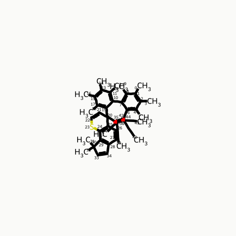 Cc1c(C)c(C)c2c(c1C)-c1c(C)c(C)c(C)c(C)c1C1(C=CSc3c1ccc1c3C(C)(C)C=C1)c1c(C)c(C)c(C)c(C)c1-2